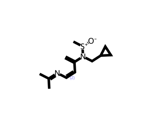 C=C(/C=C\N=C(C)C)N(CC1CC1)[S+](C)[O-]